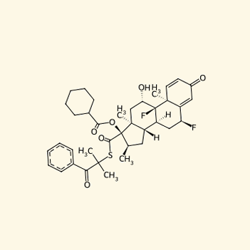 C[C@@H]1C[C@H]2[C@@H]3C[C@H](F)C4=CC(=O)C=C[C@]4(C)[C@@]3(F)[C@@H](O)C[C@]2(C)[C@@]1(OC(=O)C1CCCCC1)C(=O)SC(C)(C)C(=O)c1ccccc1